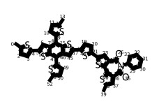 Cc1ccc(-c2cc3c(-c4ccc(C)s4)c4sc(-c5ccc(-c6cc7c(=O)n(-c8ccccc8)c(=O)c8cc(C)sc8c7s6)s5)cc4c(-c4ccc(C)s4)c3s2)s1